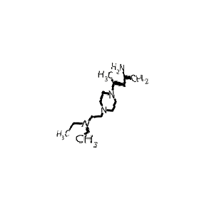 C=C(N)/C=C(\C)N1CCN(CCN(CC)CC)CC1